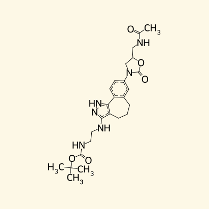 CC(=O)NCC1CN(c2ccc3c(c2)CCCc2c(NCCNC(=O)OC(C)(C)C)n[nH]c2-3)C(=O)O1